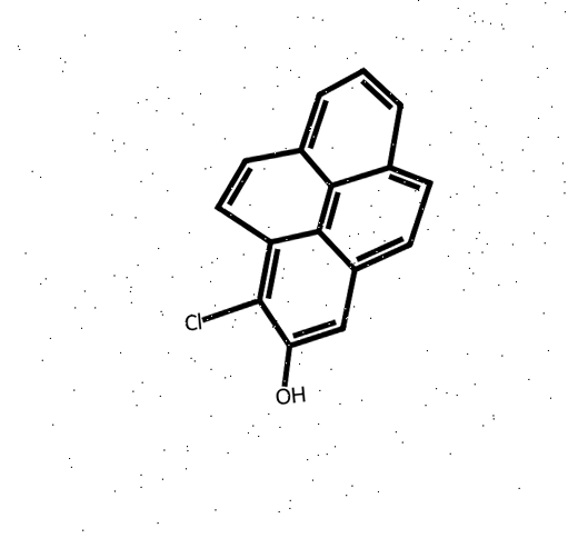 Oc1cc2ccc3cccc4ccc(c1Cl)c2c34